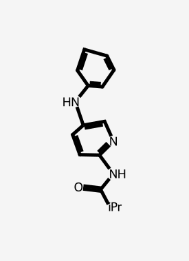 CC(C)C(=O)Nc1ccc(Nc2ccccc2)cn1